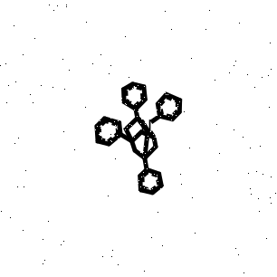 c1ccc(N2C3CC4(c5ccccc5)CC(c5ccccc5)(C3)CC2(c2ccccc2)C4)cc1